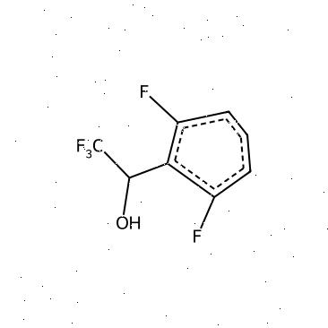 OC(c1c(F)cccc1F)C(F)(F)F